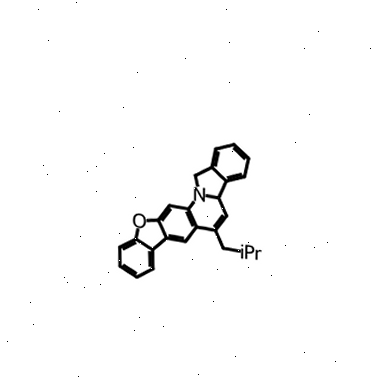 CC(C)CC1=CC2c3ccccc3CN2c2cc3oc4ccccc4c3cc21